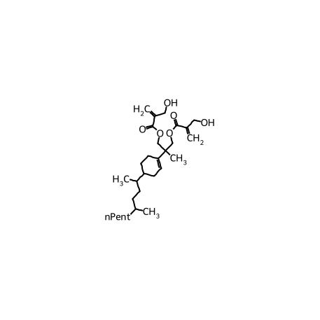 C=C(CO)C(=O)OCC(C)(COC(=O)C(=C)CO)C1=CCC(C(C)CCC(C)CCCCC)CC1